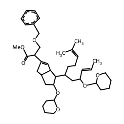 CC=CC(CC(CCC=C(C)C)C1C(OC2CCCCO2)CC2CC(C(COCc3ccccc3)C(=O)OC)=CC21)OC1CCCCO1